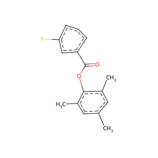 Cc1cc(C)c(OC(=O)c2cccc(F)c2)c(C)c1